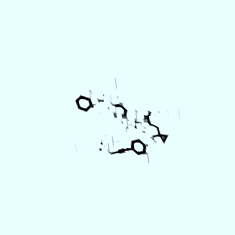 Cc1cc(N(C)c2nc(C(=O)O)c(CC3(COc4ccc(C#CCN(C)C)cc4F)CC3)s2)nnc1Nc1nc2ccccc2s1